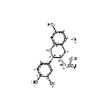 O=S(=O)(O)O.Oc1cc(O)c2c(c1)O[C@H](c1ccc(O)c(O)c1)[C@@H](O)C2